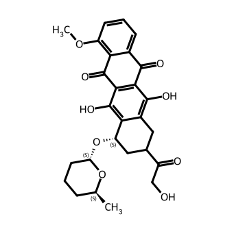 COc1cccc2c1C(=O)c1c(O)c3c(c(O)c1C2=O)CC(C(=O)CO)C[C@@H]3O[C@H]1CCC[C@H](C)O1